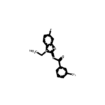 O=C(O)Cn1/c(=N/C(=O)c2cccc(C(F)(F)F)c2)sc2cc(F)ccc21